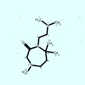 CN(C)CCN1C(=O)CN(C)CCC1(C)C